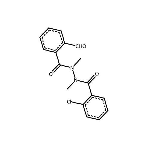 CN(C(=O)c1ccccc1Cl)N(C)C(=O)c1ccccc1C=O